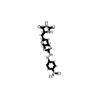 CCN(CC)c1ccc(/N=N/c2nc3sc(/C=C4\NC(=O)NC4=O)cc3s2)cc1